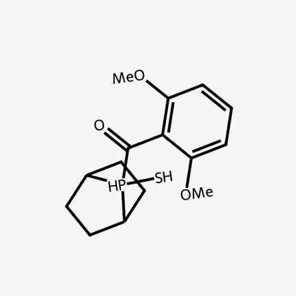 COc1cccc(OC)c1C(=O)[PH]1(S)C2CCC1CC2